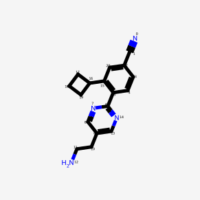 N#Cc1ccc(-c2ncc(CCN)cn2)c(C2CCC2)c1